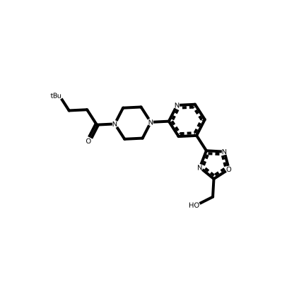 CC(C)(C)CCC(=O)N1CCN(c2cc(-c3noc(CO)n3)ccn2)CC1